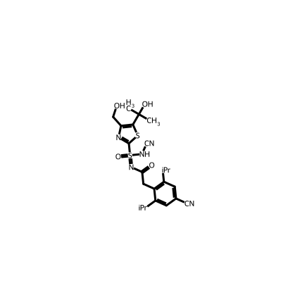 CC(C)c1cc(C#N)cc(C(C)C)c1CC(=O)N=S(=O)(NC#N)c1nc(CO)c(C(C)(C)O)s1